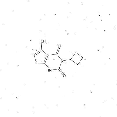 Cc1csc2[nH]c(=O)n(C3CCC3)c(=O)c12